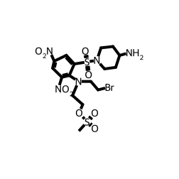 CS(=O)(=O)OCCN(CCBr)c1c([N+](=O)[O-])cc([N+](=O)[O-])cc1S(=O)(=O)N1CCC(N)CC1